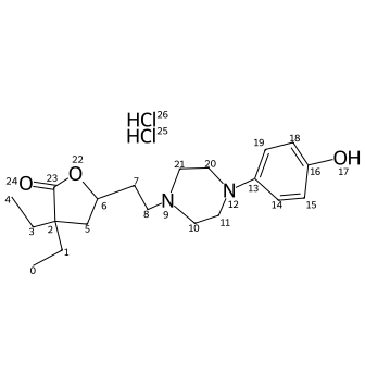 CCC1(CC)CC(CCN2CCN(c3ccc(O)cc3)CC2)OC1=O.Cl.Cl